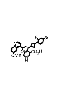 COc1ccc2nccc([C@H](O)C[C@H](C3CC(c4ccc(Br)cc4F)C3)C3CCNCC3C(=O)O)c2c1